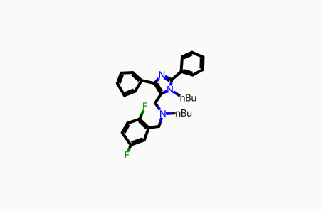 CCCCN(Cc1cc(F)ccc1F)Cc1c(-c2ccccc2)nc(-c2ccccc2)n1CCCC